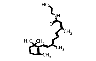 CC(C=CC1=C(C)CCCC1(C)C)=CC=C/C(C)=C\C(=O)NCCO